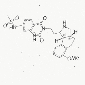 COc1cccc2c1CC[C@H]1CNC(CCn3c(=O)[nH]c4cc(NS(C)(=O)=O)ccc4c3=O)[C@@H]21